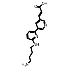 NCCCCNc1cccc(-c2cncc(C=CC(=O)O)c2)n1